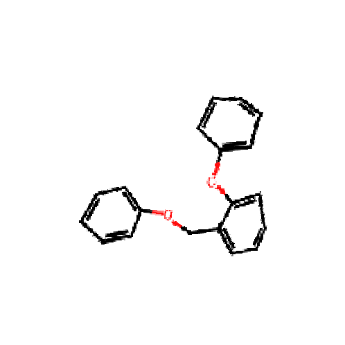 c1ccc(OCc2ccccc2Oc2ccccc2)cc1